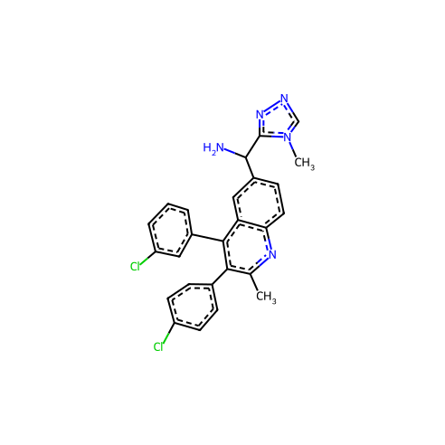 Cc1nc2ccc(C(N)c3nncn3C)cc2c(-c2cccc(Cl)c2)c1-c1ccc(Cl)cc1